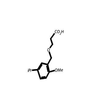 COc1ccc(C(C)C)cc1COCCC(=O)O